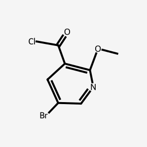 COc1ncc(Br)cc1C(=O)Cl